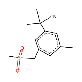 Cc1cc(CS(C)(=O)=O)cc(C(C)(C)C#N)c1